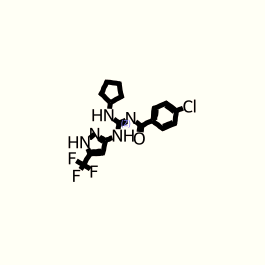 O=C(/N=C(\Nc1cc(C(F)(F)F)[nH]n1)NC1CCCC1)c1ccc(Cl)cc1